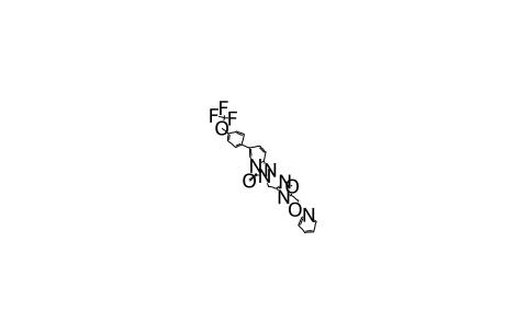 O=c1n(Cc2noc(COc3ccccn3)n2)nc2ccc(-c3ccc(OC(F)(F)F)cc3)cn12